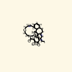 C=C1/C(=C\C=C/C)CCC2C=CC=C3/C=C\COCCN4CN([C@H]1C32)n1ccc(=O)c(O)c1C4=O